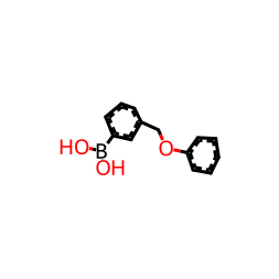 OB(O)c1cccc(COc2ccccc2)c1